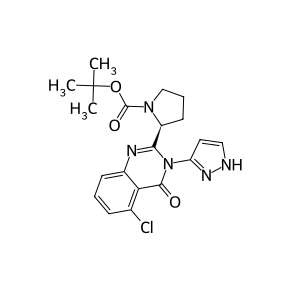 CC(C)(C)OC(=O)N1CCC[C@H]1c1nc2cccc(Cl)c2c(=O)n1-c1cc[nH]n1